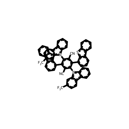 N#Cc1c(-c2cccc3c2sc2ccccc23)c(-n2c3ccccc3c3ccc(C(F)(F)F)cc32)c(C#N)c(-c2cccc3c2sc2ccccc23)c1-n1c2ccccc2c2ccc(C(F)(F)F)cc21